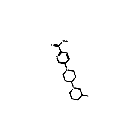 CNC(=O)c1ccc(N2CCC(N3CCCC(C)C3)CC2)cn1